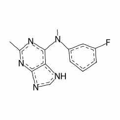 Cc1nc(N(C)c2cccc(F)c2)c2[nH]cnc2n1